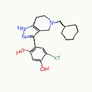 Oc1cc(O)c(-c2n[nH]c3c2CN(CC2CCCCC2)CC3)cc1Cl